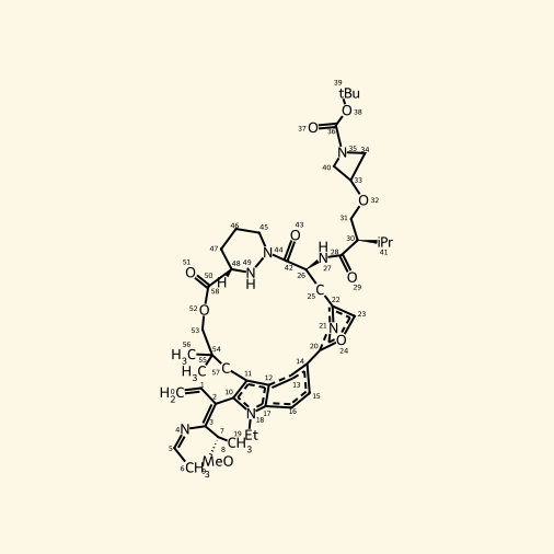 C=C/C(=C(\N=C/C)[C@H](C)OC)c1c2c3cc(ccc3n1CC)-c1nc(co1)C[C@H](NC(=O)[C@@H](COC1CN(C(=O)OC(C)(C)C)C1)C(C)C)C(=O)N1CCC[C@H](N1)C(=O)OCC(C)(C)C2